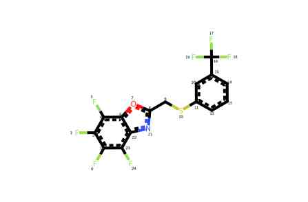 Fc1c(F)c(F)c2oc(CSc3cccc(C(F)(F)F)c3)nc2c1F